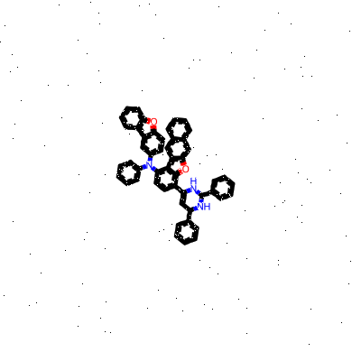 C1=C(c2ccc(N(c3ccccc3)c3ccc4oc5ccccc5c4c3)c3c2oc2cc4ccccc4cc23)NC(c2ccccc2)NC1c1ccccc1